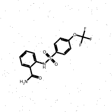 NC(=O)c1ccccc1NS(=O)(=O)c1ccc(OC(F)(F)F)cc1